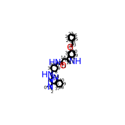 CN(C)c1nc(NC2CCC(NC(=O)Cc3c[nH]c4ccc(OCc5ccccc5)cc34)CC2)nc2c1CCCC2